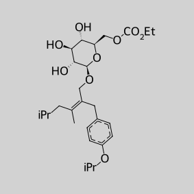 CCOC(=O)OC[C@H]1O[C@@H](OC/C(Cc2ccc(OC(C)C)cc2)=C(/C)CC(C)C)[C@H](O)[C@@H](O)[C@@H]1O